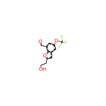 O=Cc1cc(OC(F)(F)F)cc2cc(CCO)oc12